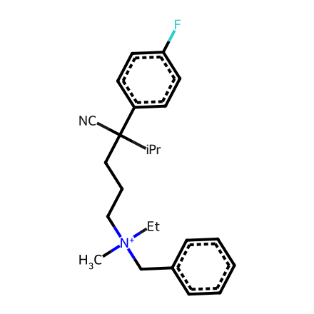 CC[N+](C)(CCCC(C#N)(c1ccc(F)cc1)C(C)C)Cc1ccccc1